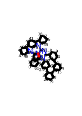 c1ccc(-c2nc(-c3cccc(-c4cccc(-c5ccccc5-c5ccccc5)c4)c3)nc(-n3c4ccccc4c4ccc5c6ccccc6n(-c6ccccc6)c5c43)n2)cc1